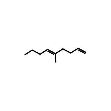 C=CCC/C(C)=C/CCC